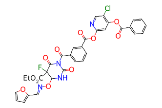 CCOC(=O)C1(F)C(=O)N(C(=O)c2cccc(C(=O)Oc3cc(OC(=O)c4ccccc4)c(Cl)cn3)c2)C(=O)NC1O/N=C/c1ccco1